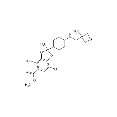 COC(=O)c1cc(Cl)c2c(c1C)OC(C)(C1CCC(NCC3(C)COC3)CC1)O2